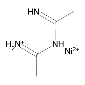 CC(=N)NC(C)=[NH2+].[Ni+2]